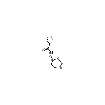 CCCC(=O)NSN1CCCCC1